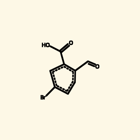 O=Cc1ccc(Br)cc1C(=O)O